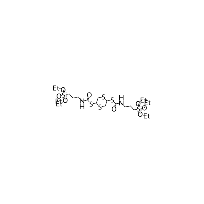 CCO[Si](CCCNC(=O)SC1CSC(SC(=O)NCCC[Si](OCC)(OCC)OCC)CS1)(OCC)OCC